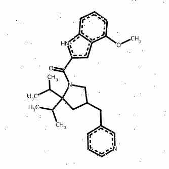 COc1cccc2[nH]c(C(=O)N3CC(Cc4cccnc4)CC3(C(C)C)C(C)C)cc12